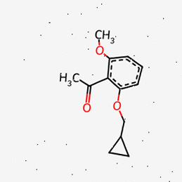 COc1cccc(OCC2CC2)c1C(C)=O